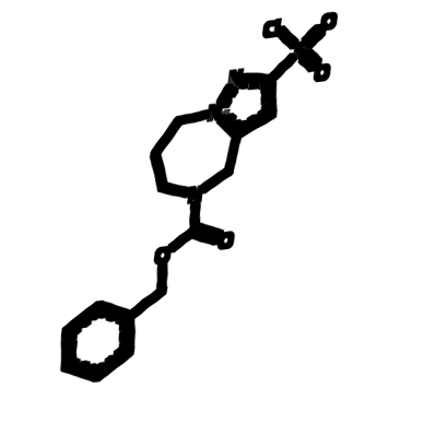 O=C(OCc1ccccc1)N1CCCn2nc(S(=O)(=O)Cl)cc2C1